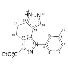 CCOC(=O)c1nn(-c2cccc(C)c2)c2c1CCc1[nH]ncc1-2